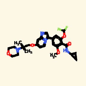 COc1cc(-c2cnc3cc(OCC(C)(C)N4CCOCC4)ccn23)cc(OC(F)F)c1C(=O)NC1CC1